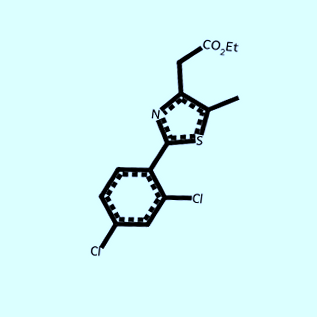 CCOC(=O)Cc1nc(-c2ccc(Cl)cc2Cl)sc1C